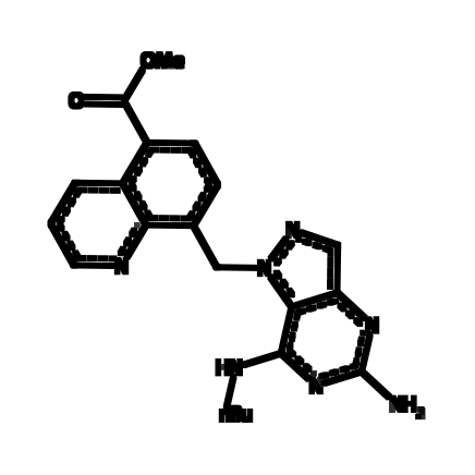 CCCCNc1nc(N)nc2cnn(Cc3ccc(C(=O)OC)c4cccnc34)c12